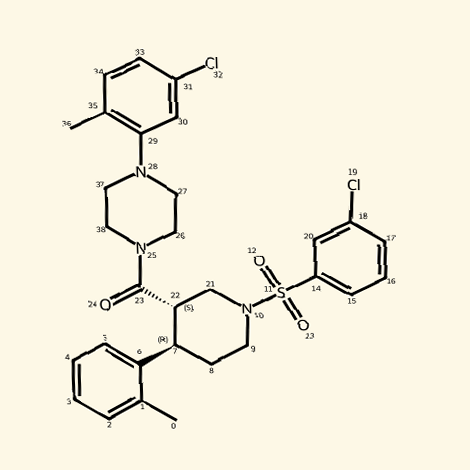 Cc1ccccc1[C@@H]1CCN(S(=O)(=O)c2cccc(Cl)c2)C[C@H]1C(=O)N1CCN(c2cc(Cl)ccc2C)CC1